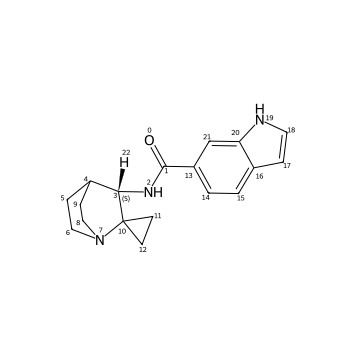 O=C(N[C@H]1C2CCN(CC2)C12CC2)c1ccc2cc[nH]c2c1